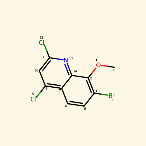 COc1c(Br)ccc2c(Cl)cc(Cl)nc12